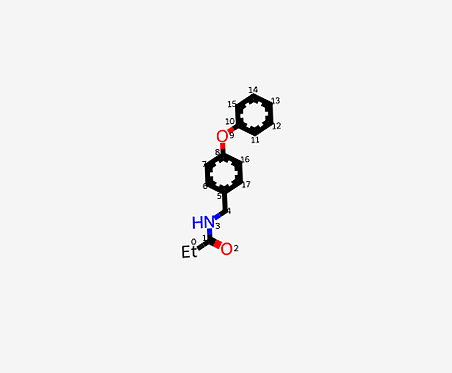 CCC(=O)NCc1ccc(Oc2ccccc2)cc1